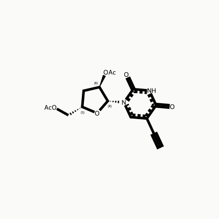 C#Cc1cn([C@@H]2O[C@H](COC(C)=O)C[C@H]2OC(C)=O)c(=O)[nH]c1=O